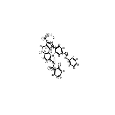 NC(=O)c1nn(-c2ccc(OCc3ccccc3)cc2)c2c1CCc1ccc(NC(=O)c3ccccc3Cl)cc1-2